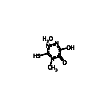 Cn1c(S)nnc(O)c1=O.O